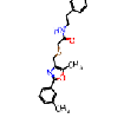 Cc1cccc(-c2nc(CSCC(=O)NCCc3ccc(Cl)cc3)c(C)o2)c1